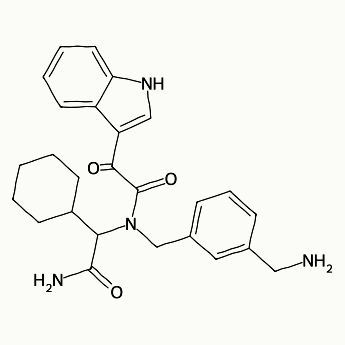 NCc1cccc(CN(C(=O)C(=O)c2c[nH]c3ccccc23)C(C(N)=O)C2CCCCC2)c1